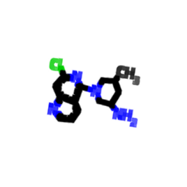 CC1CC(N)CN(c2nc(Cl)cc3ncccc23)C1